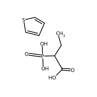 CCC(C(=O)O)P(=O)(O)O.c1ccsc1